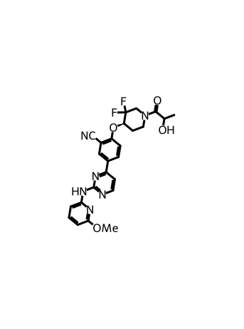 COc1cccc(Nc2nccc(-c3ccc(O[C@@H]4CCN(C(=O)C(C)O)CC4(F)F)c(C#N)c3)n2)n1